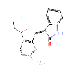 COc1ccc2c(c1)C(=C1C(=O)Nc3ccccc31)OC2CC(=O)O